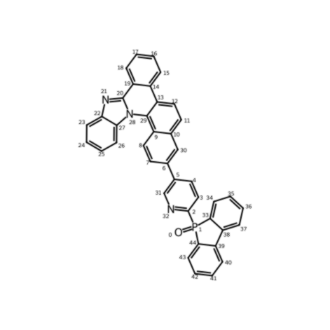 O=P1(c2ccc(-c3ccc4c(ccc5c6ccccc6c6nc7ccccc7n6c45)c3)cn2)c2ccccc2-c2ccccc21